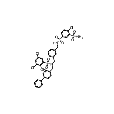 NS(=O)(=O)c1cc(S(=O)(=O)NCc2cccc(CN(Cc3ccc(-c4ccccc4)cc3)S(=O)(=O)c3cc(Cl)cc(Cl)c3O)c2)ccc1Cl